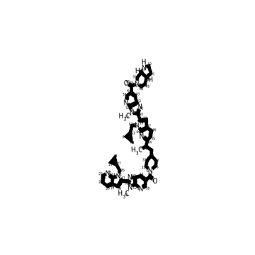 CC(CC1CCN(C(=O)c2cnc3c(c2)nc(-c2cc4cccnc4n2CC2CC2)n3C)CC1)c1ccc2cc(-c3nc4cc(C(=O)N5CC[C@H]6CCN[C@H]6C5)cnc4n3C)n(CC3CC3)c2n1